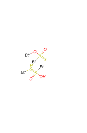 CCOS(=O)(=S)CC.CC[SH]=S(=O)(O)CC